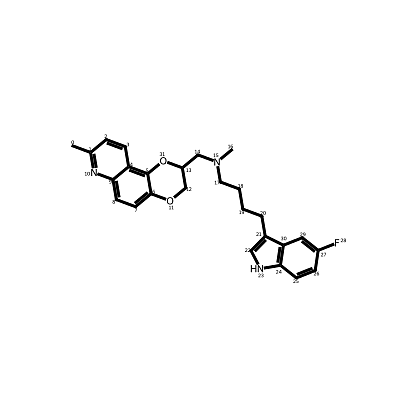 Cc1ccc2c3c(ccc2n1)OCC(CN(C)CCCCc1c[nH]c2ccc(F)cc12)O3